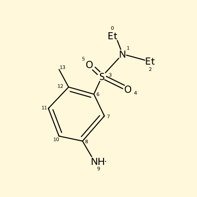 CCN(CC)S(=O)(=O)c1cc([NH])ccc1C